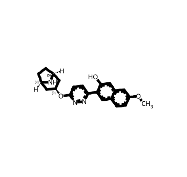 COc1ccc2cc(-c3ccc(O[C@H]4C[C@H]5CC[C@@H](C4)N5)nn3)c(O)cc2c1